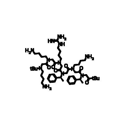 C[C@@H](c1ccccc1)N(CC(=O)N(CCCCN)CC(=O)N(CC(=O)C(C)(C)C)[C@@H](C)c1ccccc1)C(=O)CN(CCCCNC(=N)N)C(=O)CN(CCCCN)C(=O)CN(CCCCN)C(C)(C)C